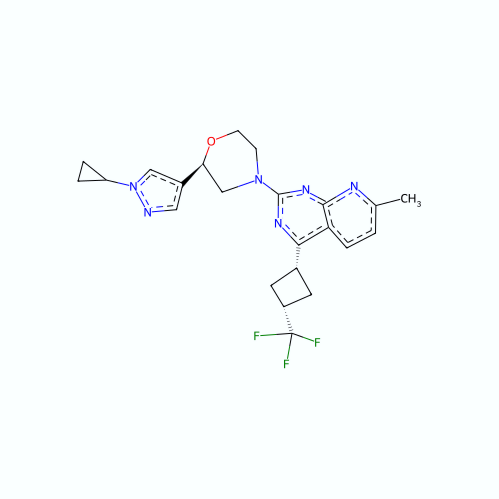 Cc1ccc2c(n1)nc(N1CCO[C@H](c3cnn(C4CC4)c3)C1)nc2[C@H]1C[C@@H](C(F)(F)F)C1